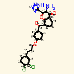 Nc1c(-c2nnn[nH]2)oc2c(C(=O)c3ccc(OCCCc4ccc(Cl)c(Cl)c4)cc3)cccc2c1=O